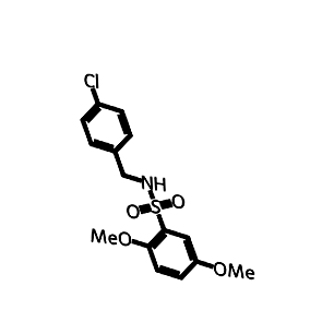 COc1ccc(OC)c(S(=O)(=O)NCc2ccc(Cl)cc2)c1